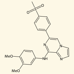 COc1ccc(Nc2nc(-c3ccc(S(C)(=O)=O)cc3)cn3ccnc23)cc1OC